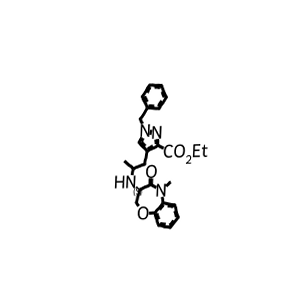 CCOC(=O)c1nn(Cc2ccccc2)cc1CC(C)N[C@H]1COc2ccccc2N(C)C1=O